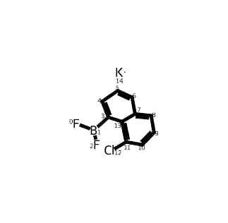 FB(F)c1cccc2cccc(Cl)c12.[K]